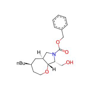 CCCC[C@@H]1CCO[C@@H]2[C@@H](C1)CN(C(=O)OCc1ccccc1)[C@@H]2CO